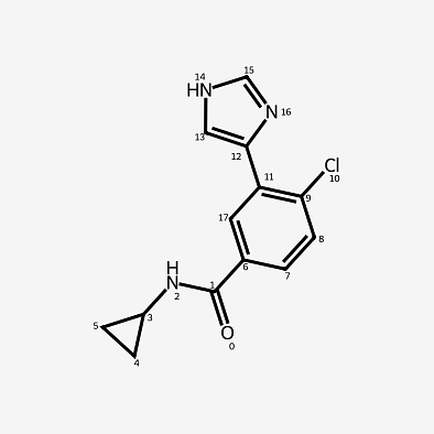 O=C(NC1CC1)c1ccc(Cl)c(-c2c[nH]cn2)c1